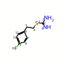 N=C(N)SCCc1ccc(F)cc1